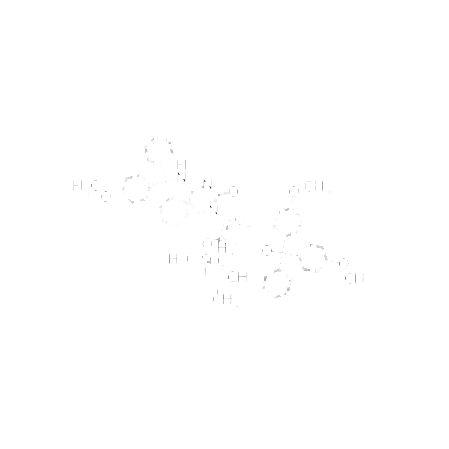 COc1ccc(C(Nc2ccn([C@@H]3O[C@H](COC(c4ccccc4)(c4ccc(OC)cc4)c4ccc(OC)cc4)C[C@H]3O[Si](C)(C)CC(C)C)c(=O)n2)(c2ccccc2)c2ccccc2)cc1